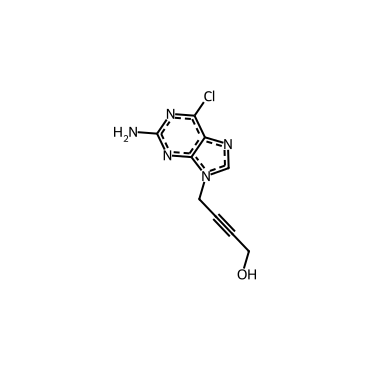 Nc1nc(Cl)c2ncn(CC#CCO)c2n1